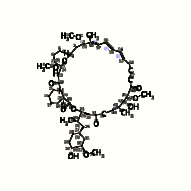 CO[C@H]1C[C@@H]2CC[C@@H](C)[C@](O)(CC(=O)N3CCCC[C@H]3C(=O)O[C@H]([C@H](C)C[C@@H]3CC[C@@H](O)[C@H](OC)C3)CC(=O)C/C=C(\C)[C@@H](O)[C@@H](OC)C(=O)CCC/C=C/C=C/C=C/1C)O2